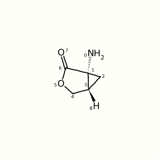 N[C@]12C[C@@H]1COC2=O